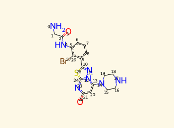 NCC(=O)Nc1cccc(-c2nn3c(N4CCNCC4)cc(=O)nc3s2)c1Br